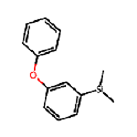 C[Si](C)c1cccc(Oc2ccccc2)c1